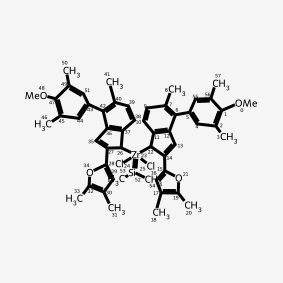 COc1c(C)cc(-c2c(C)ccc3c2C=C(c2cc(C)c(C)o2)[CH]3[Zr]([Cl])([Cl])([CH]2C(c3cc(C)c(C)o3)=Cc3c2ccc(C)c3-c2cc(C)c(OC)c(C)c2)=[Si](C)C)cc1C